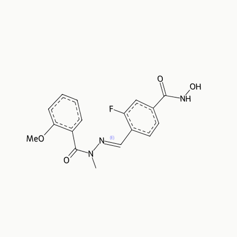 COc1ccccc1C(=O)N(C)/N=C/c1ccc(C(=O)NO)cc1F